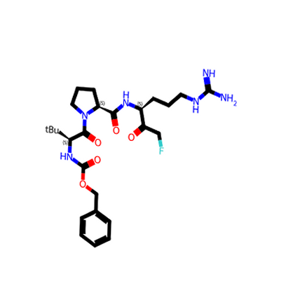 CC(C)(C)[C@H](NC(=O)OCc1ccccc1)C(=O)N1CCC[C@H]1C(=O)N[C@@H](CCCNC(=N)N)C(=O)CF